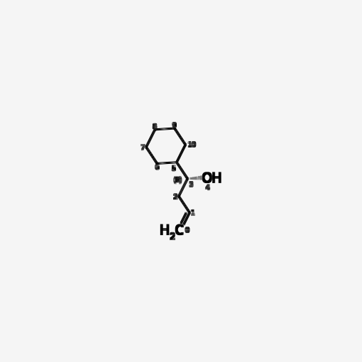 C=CC[C@@H](O)C1CCCCC1